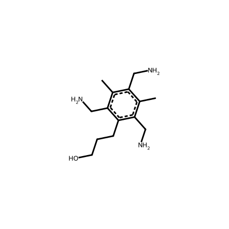 Cc1c(CN)c(C)c(CN)c(CCCO)c1CN